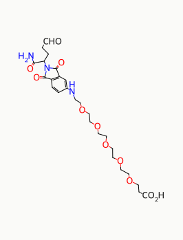 NC(=O)C(CCC=O)N1C(=O)c2ccc(NCCOCCOCCOCCOCCOCCC(=O)O)cc2C1=O